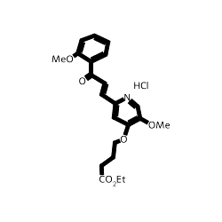 CCOC(=O)CCCOc1cc(C=CC(=O)c2ccccc2OC)ncc1OC.Cl